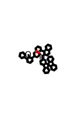 C1=CC(N(C2=CC=C3c4ccccc4C4(c5ccccc5-c5ccccc54)C3C2)c2ccc3ccccc3c2-c2ccccc2)CC(c2cccc3c2oc2ccccc23)=C1